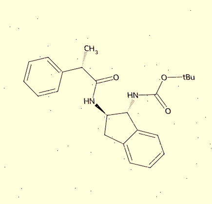 C[C@H](C(=O)N[C@@H]1Cc2ccccc2[C@H]1NC(=O)OC(C)(C)C)c1ccccc1